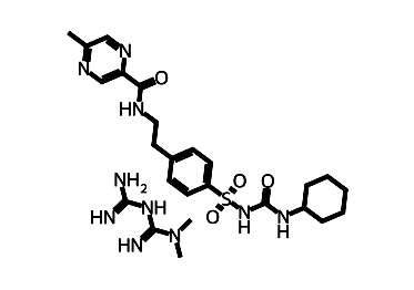 CN(C)C(=N)NC(=N)N.Cc1cnc(C(=O)NCCc2ccc(S(=O)(=O)NC(=O)NC3CCCCC3)cc2)cn1